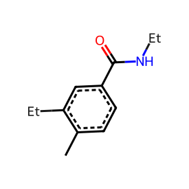 CCNC(=O)c1ccc(C)c(CC)c1